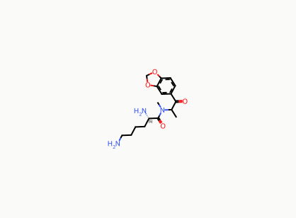 CC(C(=O)c1ccc2c(c1)OCO2)N(C)C(=O)[C@@H](N)CCCCN